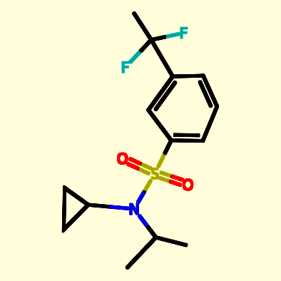 CC(C)N(C1CC1)S(=O)(=O)c1cccc(C(C)(F)F)c1